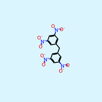 O=[N+]([O-])c1cc(Cc2cc([N+](=O)[O-])cc([N+](=O)[O-])c2)cc([N+](=O)[O-])c1